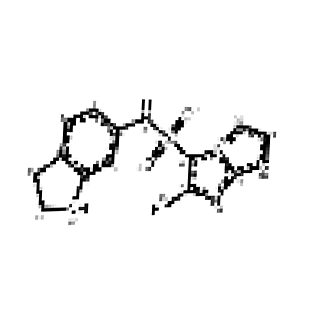 O=S(=O)(Nc1ccc2c(c1)NCC2)c1c(Br)nc2sccn12